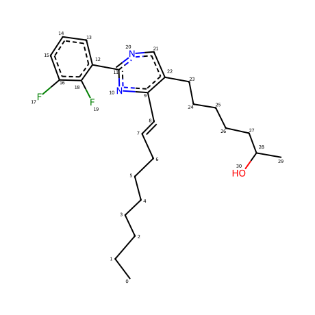 CCCCCCCC=Cc1nc(-c2cccc(F)c2F)ncc1CCCCCC(C)O